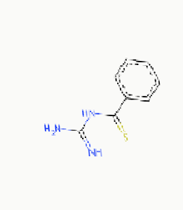 N=C(N)NC(=S)c1ccccc1